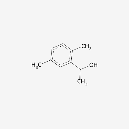 Cc1ccc(C)c([C@@H](C)O)c1